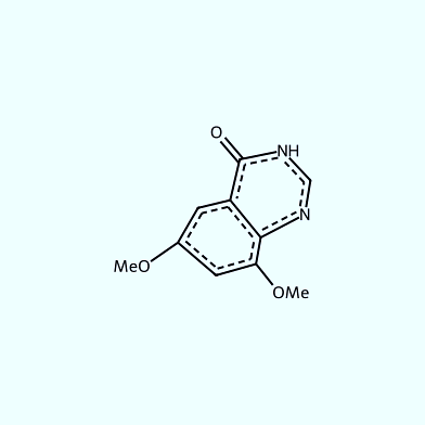 COc1cc(OC)c2nc[nH]c(=O)c2c1